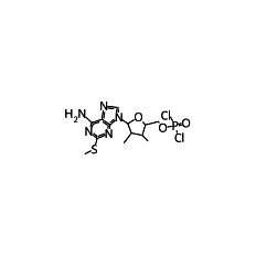 CSc1nc(N)c2ncn(C3OC(COP(=O)(Cl)Cl)C(C)C3C)c2n1